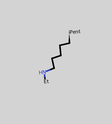 CCC[C@H](C)CCCCCNCC